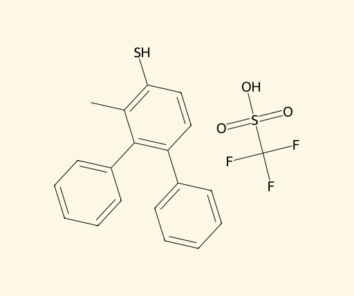 Cc1c(S)ccc(-c2ccccc2)c1-c1ccccc1.O=S(=O)(O)C(F)(F)F